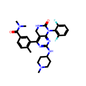 Cc1ccc(C(=O)N(C)C)cc1-c1nc(NC2CCN(C)CC2)nc2c1CNC(=O)N2c1c(F)cccc1F